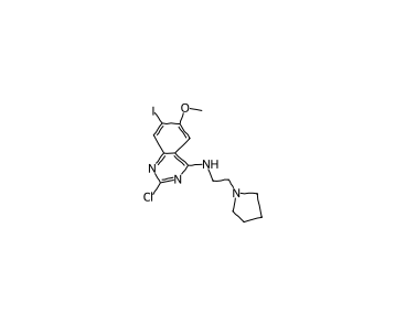 COc1cc2c(NCCN3CCCC3)nc(Cl)nc2cc1I